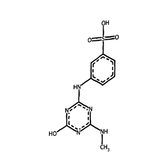 CNc1nc(O)nc(Nc2cccc(S(=O)(=O)O)c2)n1